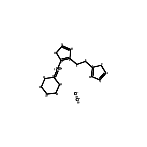 C1=CCC(CCC2=[C]([Zr+2]=[C]3CCCCC3)CC=C2)=C1.[Cl-].[Cl-]